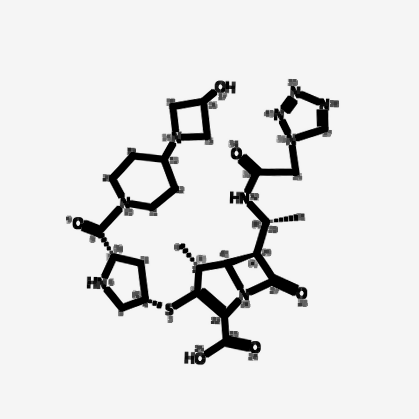 C[C@H]1C(S[C@@H]2CN[C@H](C(=O)N3CCC(N4CC(O)C4)CC3)C2)=C(C(=O)O)N2C(=O)[C@H]([C@@H](C)NC(=O)Cn3cnnn3)C12